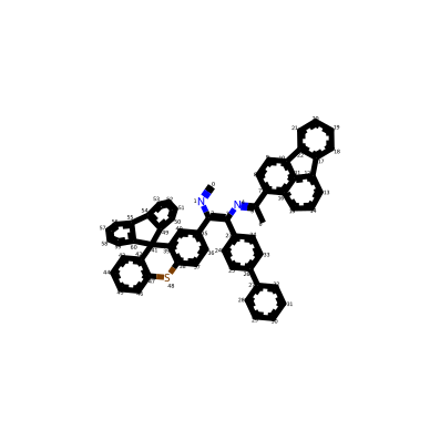 C=N/C(=C(\N=C(/C)c1ccc2c3c(cccc13)-c1ccccc1-2)c1ccc(-c2ccccc2)cc1)c1ccc2c(c1)C1(c3ccccc3S2)c2ccccc2-c2ccccc21